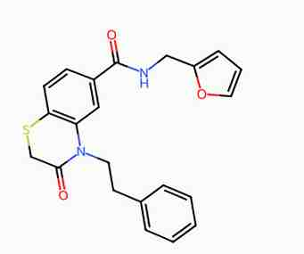 O=C(NCc1ccco1)c1ccc2c(c1)N(CCc1ccccc1)C(=O)CS2